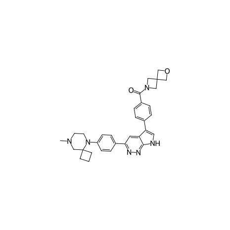 CN1CCN(c2ccc(-c3cc4c(-c5ccc(C(=O)N6CC7(COC7)C6)cc5)c[nH]c4nn3)cc2)C2(CCC2)C1